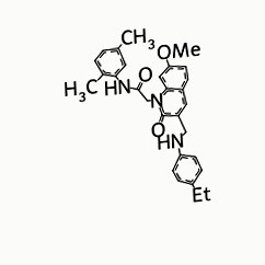 CCc1ccc(NCc2cc3ccc(OC)cc3n(CC(=O)Nc3cc(C)ccc3C)c2=O)cc1